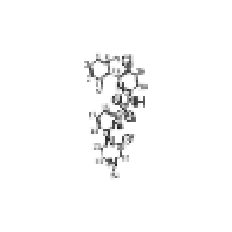 Cc1cccc(C)c1-c1nc(NS(=O)(=O)c2cccc(N3CCN(C)CC3=O)n2)ccc1Cl